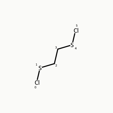 ClSCCSCl